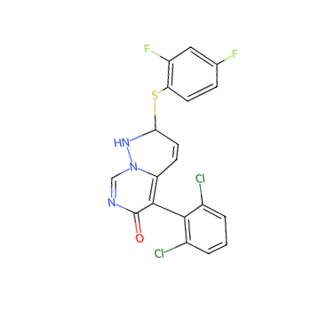 O=c1ncn2c(c1-c1c(Cl)cccc1Cl)C=CC(Sc1ccc(F)cc1F)N2